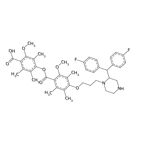 COc1c(C)c(OC(=O)c2c(C)c(C)c(OCCCN3CCNCC3C(c3ccc(F)cc3)c3ccc(F)cc3)c(C)c2OC)c(C)c(C)c1C(=O)O